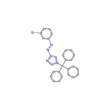 Brc1cccc(N=Nc2cn(C(c3ccccc3)(c3ccccc3)c3ccccc3)cn2)c1